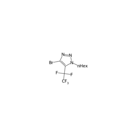 CCCCCCn1nnc(Br)c1C(F)(F)C(F)(F)F